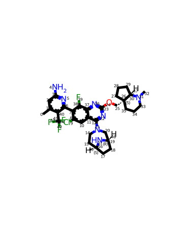 Cc1cc(N)nc(-c2c(Cl)cc3c(N4CC[C@@H]5CC[C@H](C4)N5)nc(OC[C@]45CCC[C@H]4N(C)CCC5)nc3c2F)c1C(F)(F)F